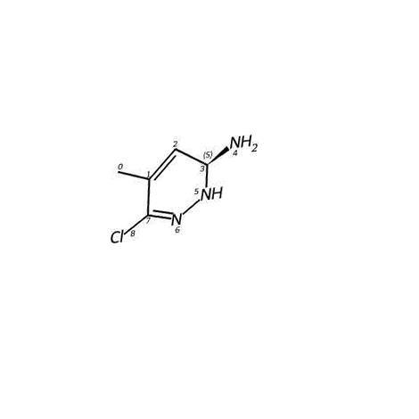 CC1=C[C@@H](N)NN=C1Cl